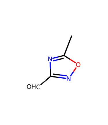 Cc1nc(C=O)no1